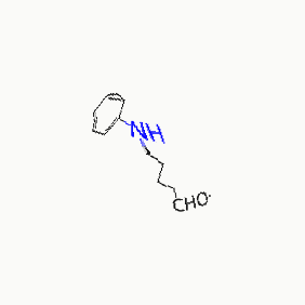 O=[C]CCCCNc1ccccc1